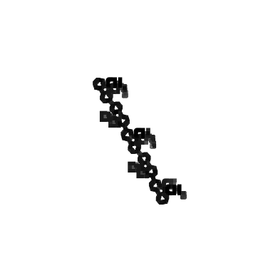 CCC1(CC)c2cc(-c3ccc4c(c3)C(C)(C(F)(F)F)c3ccccc3-4)ccc2-c2ccc(-c3ccc4c(c3)C(C)(C(F)(F)F)c3cc(-c5ccc6c(c5)C(CC)(CC)c5cc(-c7ccc8c(c7)C(C)(C(F)(F)F)c7ccccc7-8)ccc5-6)ccc3-4)cc21